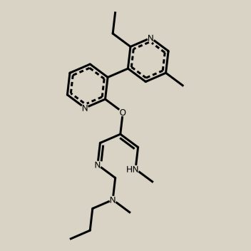 CCCN(C)C/N=C\C(=C/NC)Oc1ncccc1-c1cc(C)cnc1CC